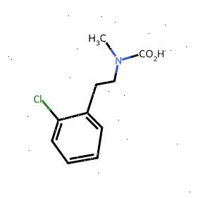 CN(CCc1ccccc1Cl)C(=O)O